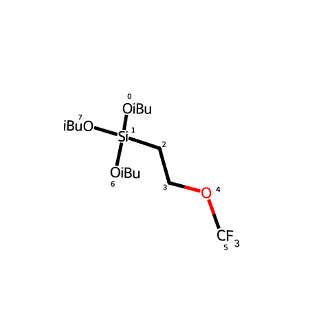 CC(C)CO[Si](CCOC(F)(F)F)(OCC(C)C)OCC(C)C